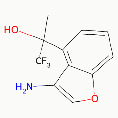 CC(O)(c1cccc2occ(N)c12)C(F)(F)F